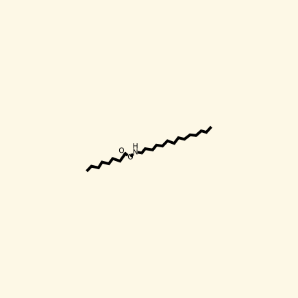 CCCCCCCCCCCCCCNOC(=O)CCCCCCC